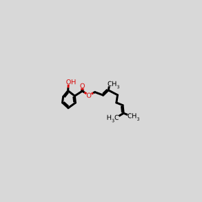 CC(C)=CCC/C(C)=C/COC(=O)c1ccccc1O